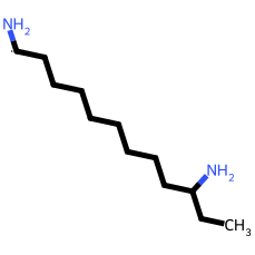 CCC(N)CCCCCCCC[CH]N